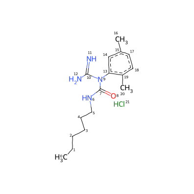 CCCCCCNC(=O)N(C(=N)N)c1cc(C)ccc1C.Cl